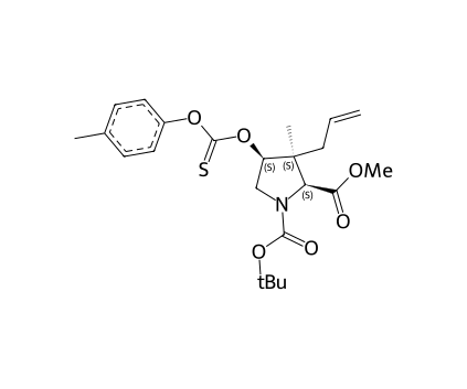 C=CC[C@]1(C)[C@H](OC(=S)Oc2ccc(C)cc2)CN(C(=O)OC(C)(C)C)[C@@H]1C(=O)OC